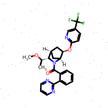 COC(C)[C@@H]1[C@H]2C[C@@H](Oc3ccc(C(F)(F)F)cn3)[C@H](C2)N1C(=O)c1ccccc1-c1ncccn1